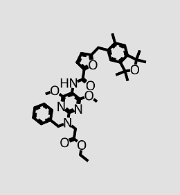 CCOC(=O)CN(Cc1ccccc1)c1nc(OC)c(NC(=O)c2ccc(Cc3cc4c(cc3C)C(C)(C)OC4(C)C)o2)c(OC)n1